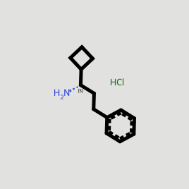 Cl.N[C@@H](CCc1ccccc1)C1CCC1